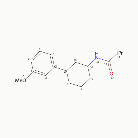 COc1cccc(C2CCCC(NC(=O)C(C)C)C2)c1